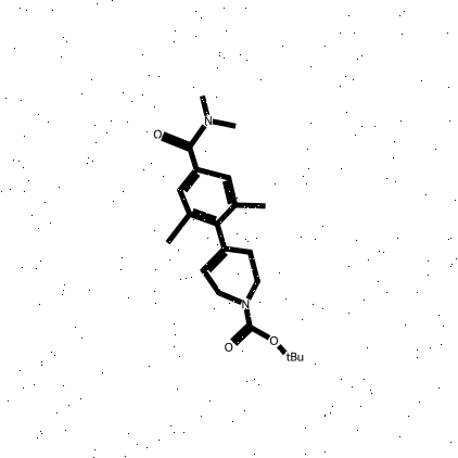 Cc1cc(C(=O)N(C)C)cc(C)c1C1=CCN(C(=O)OC(C)(C)C)CC1